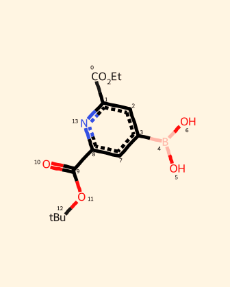 CCOC(=O)c1cc(B(O)O)cc(C(=O)OC(C)(C)C)n1